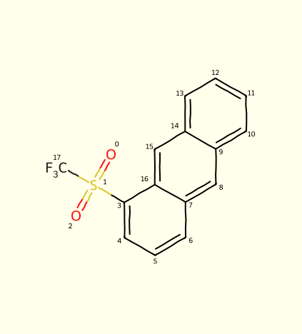 O=S(=O)(c1cccc2cc3ccccc3cc12)C(F)(F)F